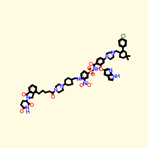 CC1(C)CCC(CN2CCN(c3ccc(C(=O)NS(=O)(=O)c4ccc(NCC5CCC(N6CCN(C(=O)CCCCc7cccc8c7CN(C7CCC(=O)NC7=O)C8=O)CC6)CC5)c([N+](=O)[O-])c4)c(Oc4cnc5[nH]ccc5c4)c3)CC2)=C(c2ccc(Cl)cc2)C1